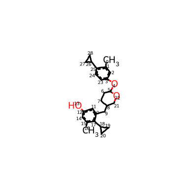 Cc1cc(OC2CCC(Cc3cc(O)cc(C)c3C3CC3)CO2)ccc1C1CC1